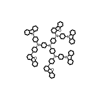 c1ccc2c(c1)oc1c(-c3ccc(N(c4ccc(N(c5ccc(N(c6ccc(-c7cccc8c7oc7ccccc78)cc6)c6ccc(-n7c8ccccc8c8ccccc87)cc6)cc5)c5ccc(N(c6ccc(-n7c8ccccc8c8ccccc87)cc6)c6cccc7c6oc6ccccc67)cc5)cc4)c4ccc(-n5c6ccccc6c6ccccc65)cc4)cc3)cccc12